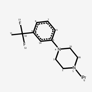 CC(C)N1CCN(c2cccc(C(C)(F)F)c2)CC1